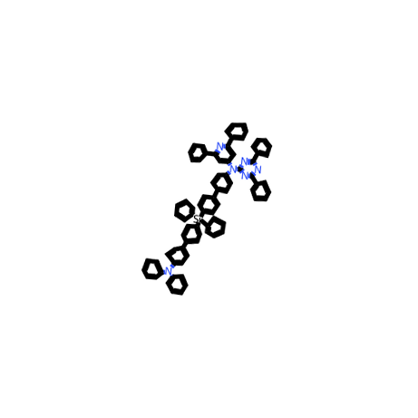 c1ccc(-c2cc(N(c3ccc(-c4ccc([Si](c5ccccc5)(c5ccccc5)c5ccc(-c6ccc(N(c7ccccc7)c7ccccc7)cc6)cc5)cc4)cc3)c3nc(-c4ccccc4)nc(-c4ccccc4)n3)cc(-c3ccccc3)n2)cc1